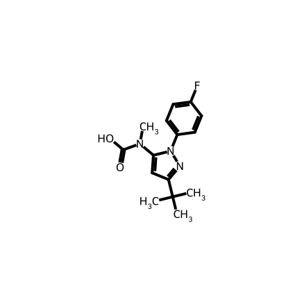 CN(C(=O)O)c1cc(C(C)(C)C)nn1-c1ccc(F)cc1